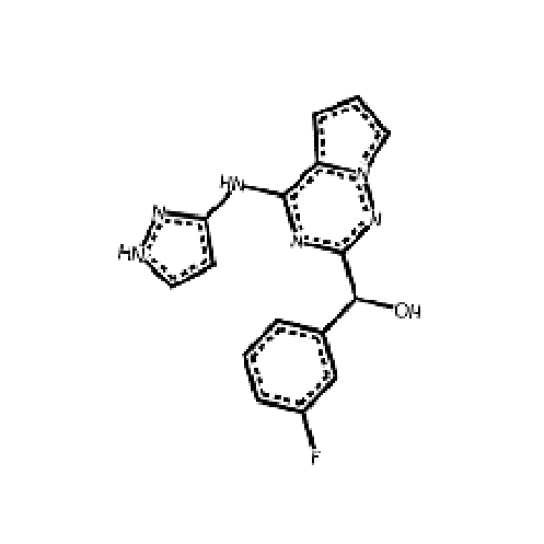 OC(c1cccc(F)c1)c1nc(Nc2cc[nH]n2)c2cccn2n1